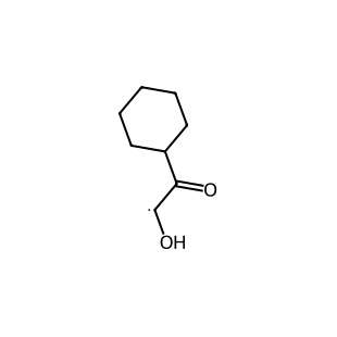 O=C([CH]O)C1CCCCC1